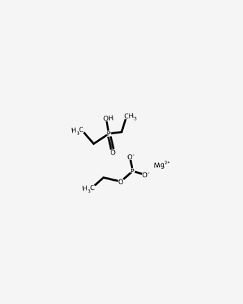 CCOP([O-])[O-].CCP(=O)(O)CC.[Mg+2]